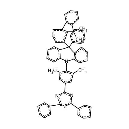 Cc1cc(-c2nc(-c3ccccc3)nc(-c3ccccc3)n2)cc(C)c1N1c2ccccc2C(c2ccccc2)(c2cccc3c2C(C)(C)c2ccccc2-3)c2ccccc21